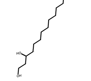 CCCCCCCCCCCCCCCC[CH]C(O)CCO